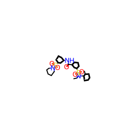 CCN(c1ccccc1C)S(=O)(=O)c1cccc(C(=O)Nc2cccc(S(=O)(=O)N3CCCCC3)c2)c1